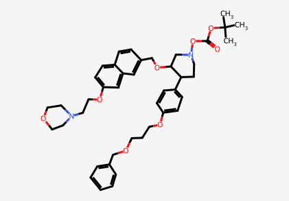 CC(C)(C)OC(=O)ON1CCC(c2ccc(OCCCOCc3ccccc3)cc2)C(OCc2ccc3ccc(OCCN4CCOCC4)cc3c2)C1